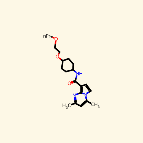 CCCOCCOC1CCC(NC(=O)c2ccn3c(C)cc(C)nc23)CC1